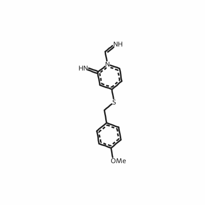 COc1ccc(CSc2ccn(C=N)c(=N)c2)cc1